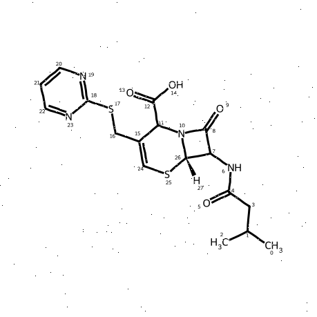 CC(C)CC(=O)NC1C(=O)N2C(C(=O)O)C(CSc3ncccn3)=CS[C@@H]12